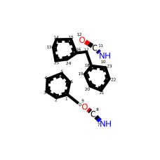 Cc1ccccc1.N=C=O.N=C=O.c1ccc(Cc2ccccc2)cc1